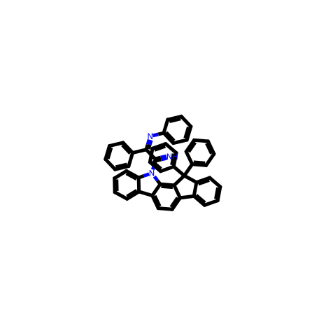 N=C(/C(=N\c1ccccc1)c1ccccc1)n1c2ccccc2c2ccc3c(c21)C(c1ccccc1)(c1ccccc1)c1ccccc1-3